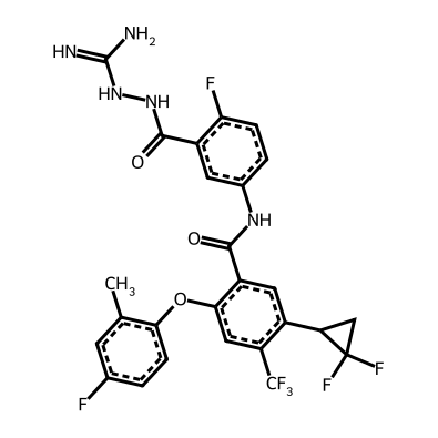 Cc1cc(F)ccc1Oc1cc(C(F)(F)F)c(C2CC2(F)F)cc1C(=O)Nc1ccc(F)c(C(=O)NNC(=N)N)c1